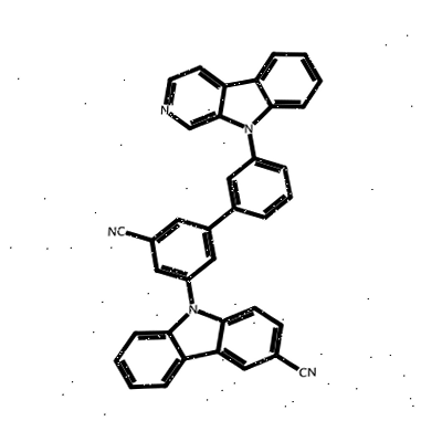 N#Cc1cc(-c2cccc(-n3c4ccccc4c4ccncc43)c2)cc(-n2c3ccccc3c3cc(C#N)ccc32)c1